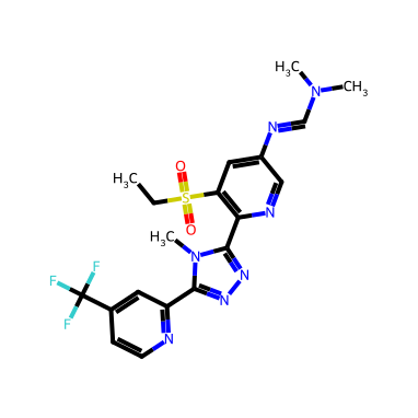 CCS(=O)(=O)c1cc(N=CN(C)C)cnc1-c1nnc(-c2cc(C(F)(F)F)ccn2)n1C